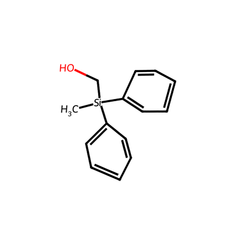 C[Si](CO)(c1ccccc1)c1ccccc1